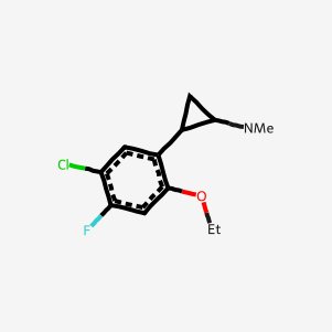 CCOc1cc(F)c(Cl)cc1C1CC1NC